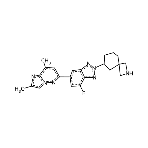 Cc1cn2nc(-c3cc(F)c4nn(C5CCCC6(CNC6)C5)nc4c3)cc(C)c2n1